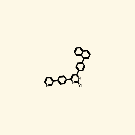 Clc1nc(-c2ccc(-c3cccnc3)cc2)cc(-c2ccc(-c3cccc4ccccc34)cc2)n1